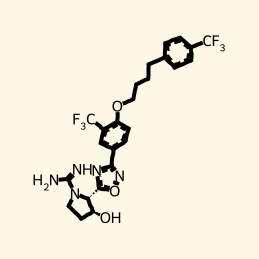 N=C(N)N1CC[C@H](O)[C@H]1c1nc(-c2ccc(OCCCCc3ccc(C(F)(F)F)cc3)c(C(F)(F)F)c2)no1